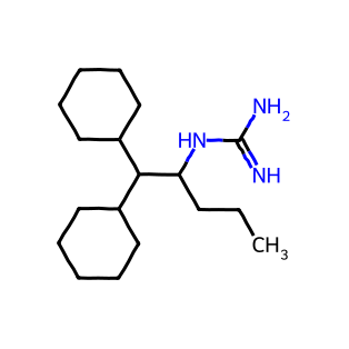 CCCC(NC(=N)N)C(C1CCCCC1)C1CCCCC1